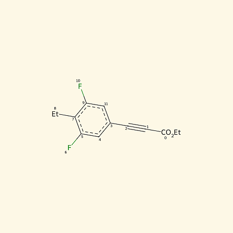 CCOC(=O)C#Cc1cc(F)c(CC)c(F)c1